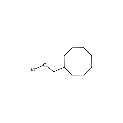 CCOCC1CCCCCCC1